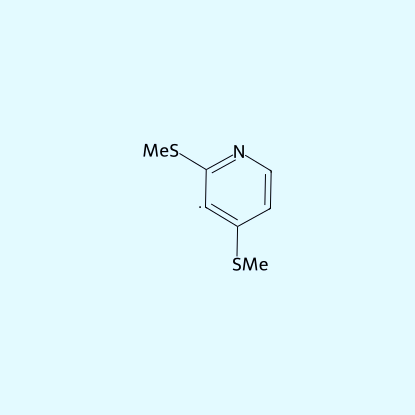 CSc1[c]c(SC)ncc1